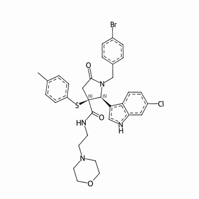 Cc1ccc(S[C@@]2(C(=O)NCCN3CCOCC3)CC(=O)N(Cc3ccc(Br)cc3)[C@H]2c2c[nH]c3cc(Cl)ccc23)cc1